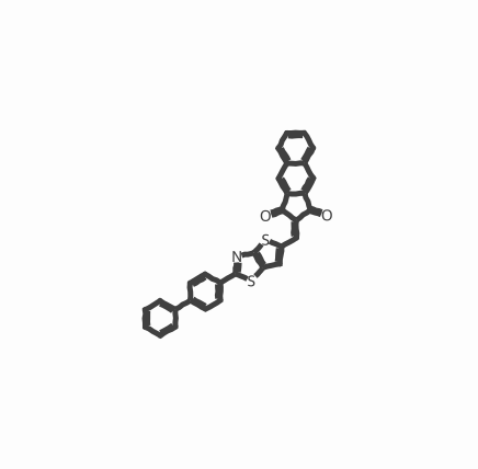 O=C1C(=Cc2cc3sc(-c4ccc(-c5ccccc5)cc4)nc3s2)C(=O)c2cc3ccccc3cc21